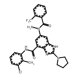 Cc1c(Cl)cccc1NC(=O)c1cc(N(N)C(=O)c2ccccc2C(F)(F)F)cc2[nH]c(N3CCCC3)nc12